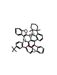 CC(C)(C)c1ccc(N2c3cc4oc5ccccc5c4c4c3B(c3oc5ccccc5c32)N2c3c-4cccc3C3(C)CCCCC23C)c(-c2ccccc2)c1